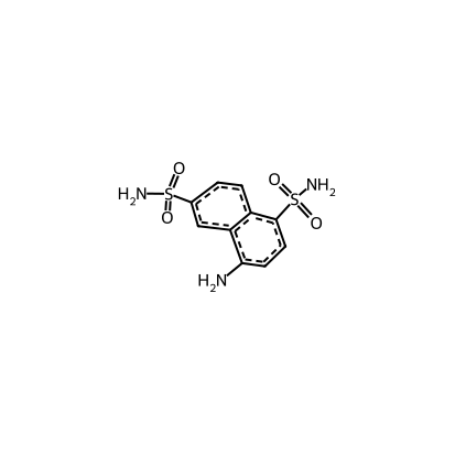 Nc1ccc(S(N)(=O)=O)c2ccc(S(N)(=O)=O)cc12